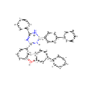 c1ccc(C2=NC(c3cccc4oc5cc(-c6ccccc6)ccc5c34)=NC(c3ccc(-c4ccccc4)cc3)N2)cc1